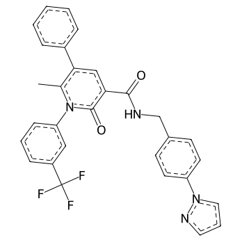 Cc1c(-c2ccccc2)cc(C(=O)NCc2ccc(-n3cccn3)cc2)c(=O)n1-c1cccc(C(F)(F)F)c1